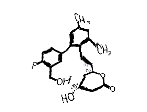 Cc1cc(C)c(/C=C/[C@@H]2C[C@@H](O)CC(=O)O2)c(-c2ccc(F)c(CO)c2)c1